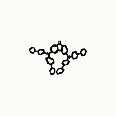 C1=CCCC(c2ccc(N(c3ccc(-c4ccccc4)cc3)c3ccc4oc5ccc(N(c6ccc(-c7ccccc7)cc6)c6ccc(-c7ccccc7)cc6)cc5c4c3)cc2)=C1